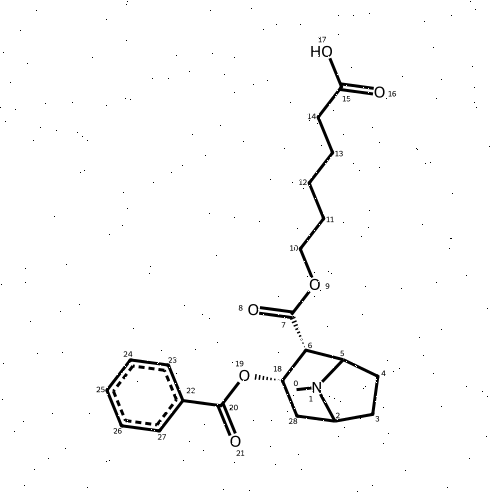 CN1C2CCC1[C@@H](C(=O)OCCCCCC(=O)O)[C@@H](OC(=O)c1ccccc1)C2